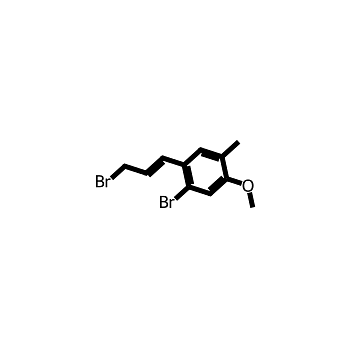 COc1cc(Br)c(/C=C/CBr)cc1C